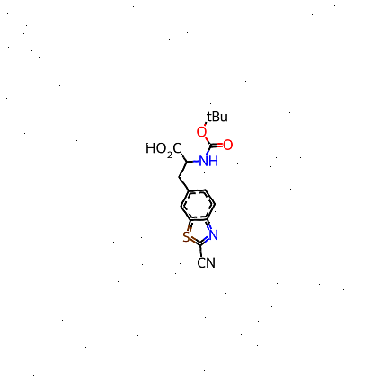 CC(C)(C)OC(=O)NC(Cc1ccc2nc(C#N)sc2c1)C(=O)O